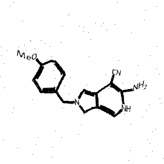 COc1ccc(CN2C=C3C(=CNC(N)=C3C#N)C2)cc1